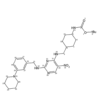 CC(C)(C)OC(=O)NC1CCC(CNc2nc(NCc3cccc(N4CCCCC4)c3)ncc2[N+](=O)[O-])CC1